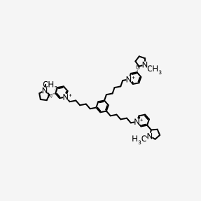 CN1CCCC1c1ccc[n+](CCCCCc2cc(CCCCC[n+]3cccc([C@@H]4CCCN4C)c3)cc(CCCCC[n+]3cccc([C@@H]4CCCN4C)c3)c2)c1